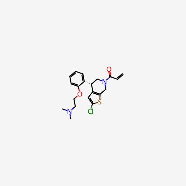 C=CC(=O)N1Cc2sc(Cl)cc2[C@H](c2ccccc2OCCN(C)C)C1